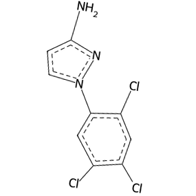 Nc1ccn(-c2cc(Cl)c(Cl)cc2Cl)n1